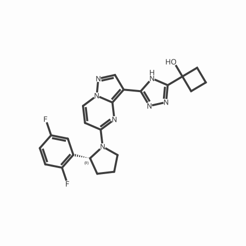 OC1(c2nnc(-c3cnn4ccc(N5CCC[C@@H]5c5cc(F)ccc5F)nc34)[nH]2)CCC1